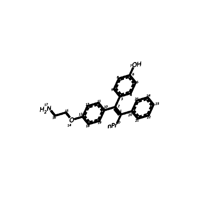 CCC/C(=C(/c1ccc(O)cc1)c1ccc(OCCN)cc1)c1ccccc1